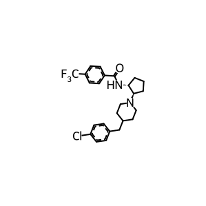 O=C(N[C@@H]1CCC[C@H]1N1CCC(Cc2ccc(Cl)cc2)CC1)c1ccc(C(F)(F)F)cc1